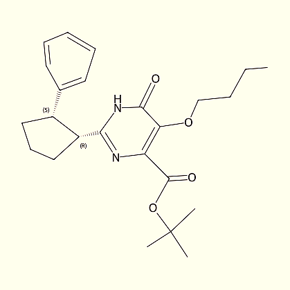 CCCCOc1c(C(=O)OC(C)(C)C)nc([C@@H]2CCC[C@@H]2c2ccccc2)[nH]c1=O